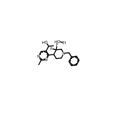 CCO.Cc1ncc(C(C)O)c(C2CCN(Cc3ccccc3)CC2(F)F)n1